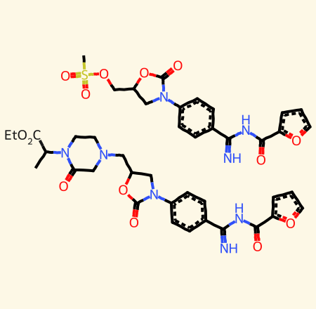 CCOC(=O)C(C)N1CCN(CC2CN(c3ccc(C(=N)NC(=O)c4ccco4)cc3)C(=O)O2)CC1=O.CS(=O)(=O)OCC1CN(c2ccc(C(=N)NC(=O)c3ccco3)cc2)C(=O)O1